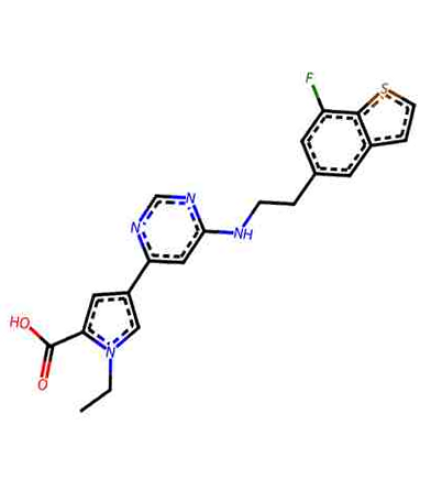 CCn1cc(-c2cc(NCCc3cc(F)c4sccc4c3)ncn2)cc1C(=O)O